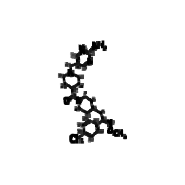 CO/N=C(/CC1CCN(C(=O)C2CCN(Cc3cnc(N)nc3)CC2)CC1)c1ccc(Cl)cc1